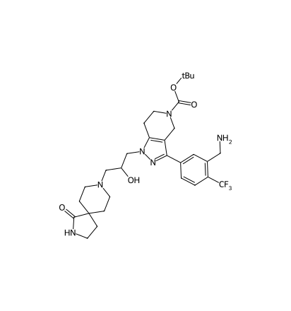 CC(C)(C)OC(=O)N1CCc2c(c(-c3ccc(C(F)(F)F)c(CN)c3)nn2CC(O)CN2CCC3(CCNC3=O)CC2)C1